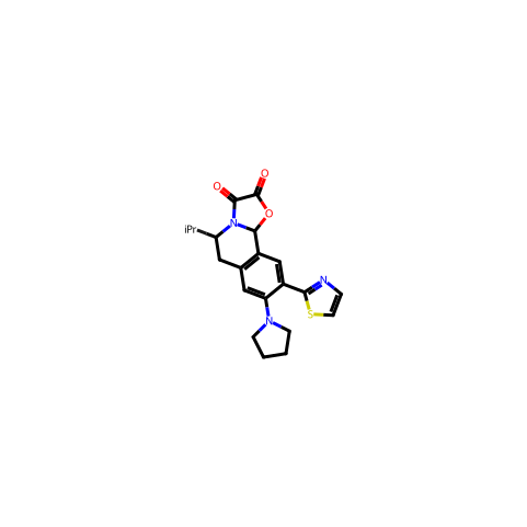 CC(C)C1Cc2cc(N3CCCC3)c(-c3nccs3)cc2C2OC(=O)C(=O)N21